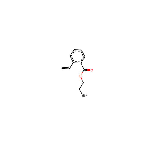 C=Cc1ccccc1C(=O)OCCC(C)CC